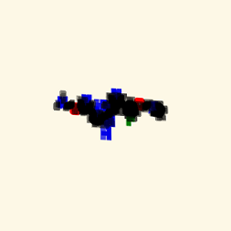 CN(C)CCOc1cncc(-c2ccc3[nH]nc(-c4cc5c(-c6cc(F)cc(OCCN7CCCC7)c6)cncc5[nH]4)c3n2)c1